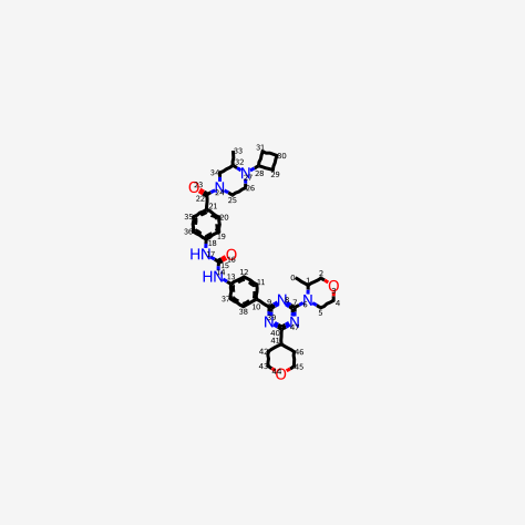 CC1COCCN1c1nc(-c2ccc(NC(=O)Nc3ccc(C(=O)N4CCN(C5CCC5)C(C)C4)cc3)cc2)nc(C2CCOCC2)n1